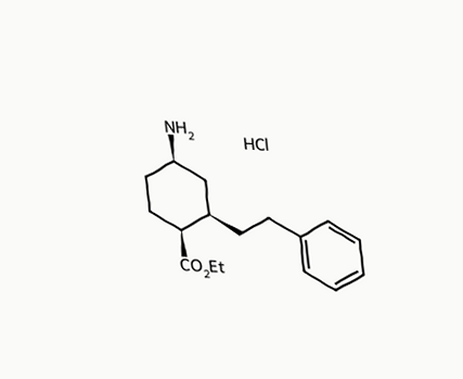 CCOC(=O)[C@H]1CC[C@@H](N)C[C@H]1CCc1ccccc1.Cl